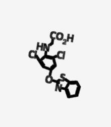 O=C(O)CNc1c(Cl)cc(Oc2nc3ccccc3s2)cc1Cl